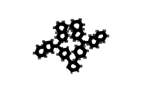 c1ccc(-c2ccc(N(c3ccc4ccccc4c3)c3ccc4ccccc4c3)cc2)c(-c2ccc(N(c3ccc4ccccc4c3)c3ccc4ccccc4c3)cc2)c1